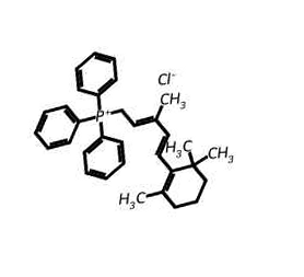 CC(C=CC1=C(C)CCCC1(C)C)=CC[P+](c1ccccc1)(c1ccccc1)c1ccccc1.[Cl-]